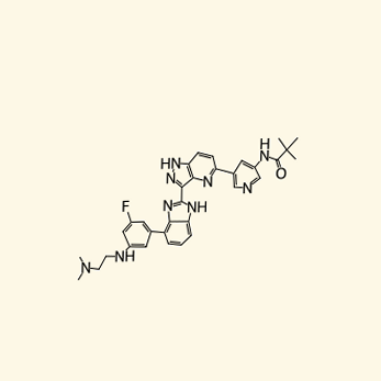 CN(C)CCNc1cc(F)cc(-c2cccc3[nH]c(-c4n[nH]c5ccc(-c6cncc(NC(=O)C(C)(C)C)c6)nc45)nc23)c1